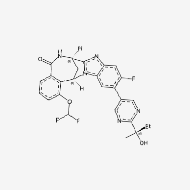 CC[C@](C)(O)c1ncc(-c2cc3c(cc2F)nc2n3[C@@H]3C[C@H]2NC(=O)c2cccc(OC(F)F)c23)cn1